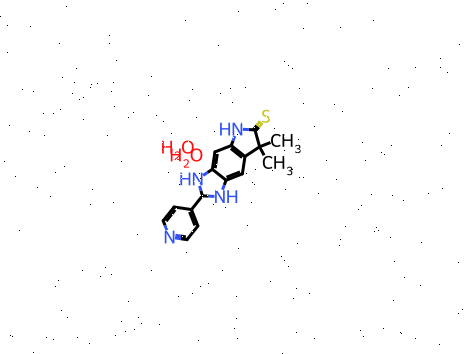 CC1(C)C(=S)Nc2cc3c(cc21)NC(c1ccncc1)N3.O.O